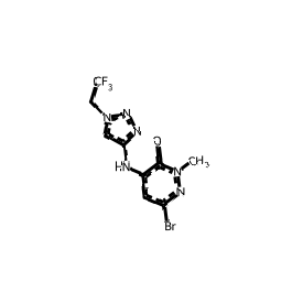 Cn1nc(Br)cc(Nc2cn(CC(F)(F)F)nn2)c1=O